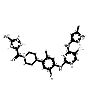 Cc1cc(Nc2nc(Nc3cc(C)c(C4CCN(C(=O)c5nc(C(C)C)no5)CC4)cc3F)ncc2Cl)n[nH]1